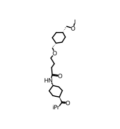 CC(C)C(=O)[C@H]1CC[C@@H](NC(=O)CCCOC[C@H]2CC[C@@H](COI)CC2)CC1